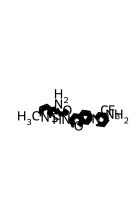 Cc1ccc2c(N)c(C(=O)N[C@H]3COc4cc(N5CCC[C@](N)(C(F)(F)F)C5)ccc4C3)sc2n1